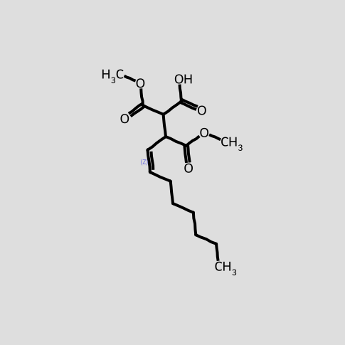 CCCCCC/C=C\C(C(=O)OC)C(C(=O)O)C(=O)OC